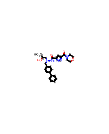 O=C(NN(Cc1ccc(-c2ccccc2)cc1)CC(O)C(=O)O)c1cc(C(=O)N2CCOCC2)n[nH]1